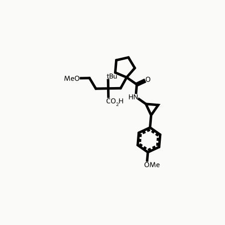 COCCC(CC1(C(=O)NC2CC2c2ccc(OC)cc2)CCCC1)(C(=O)O)C(C)(C)C